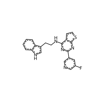 Fc1cncc(-c2nc(NCCc3c[nH]c4ccccc34)c3ccsc3n2)c1